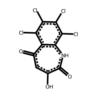 O=c1[nH]c2c(Cl)c(Cl)c(Cl)c(Cl)c2c(=O)cc1O